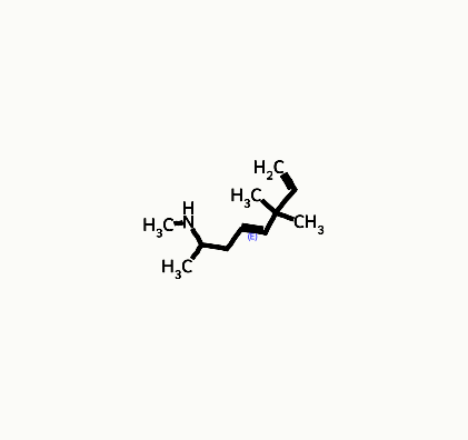 C=CC(C)(C)/C=C/CC(C)NC